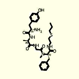 CCCSCCNC(=O)[C@H](Cc1ccccc1)N(C)C(=O)CNC(=O)[C@@H](C)NC(=O)[C@@H](N)Cc1ccc(O)cc1